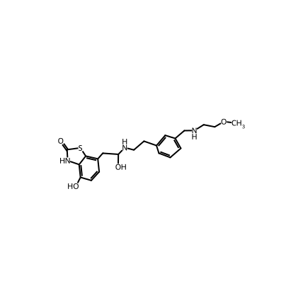 COCCNCc1cccc(CCNC(O)Cc2ccc(O)c3[nH]c(=O)sc23)c1